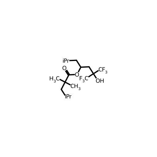 CC(C)CC(CC(O)(C(F)(F)F)C(F)(F)F)OC(=O)C(C)(C)CC(C)C